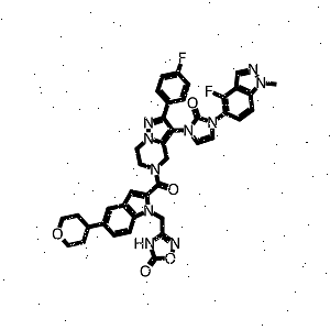 Cn1ncc2c(F)c(-n3ccn(-c4c(-c5ccc(F)cc5)nn5c4CN(C(=O)c4cc6cc(C7CCOCC7)ccc6n4Cc4noc(=O)[nH]4)CC5)c3=O)ccc21